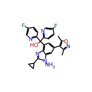 Cc1noc(C)c1-c1cc(C(O)(c2ccc(F)cn2)c2ccc(F)cn2)c2nc(C3CC3)n(N)c2c1